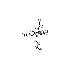 CCCCCC(C)(CO)C(O)CCC